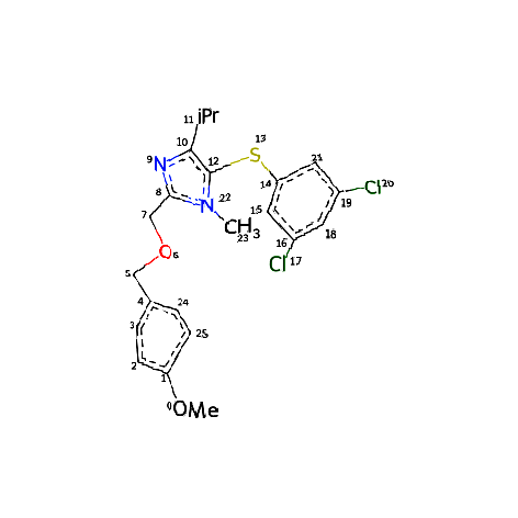 COc1ccc(COCc2nc(C(C)C)c(Sc3cc(Cl)cc(Cl)c3)n2C)cc1